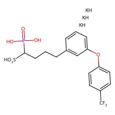 O=P(O)(O)C(CCCc1cccc(Oc2ccc(C(F)(F)F)cc2)c1)S(=O)(=O)O.[KH].[KH].[KH]